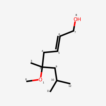 COC(C)(CC=CCO)CC(C)C